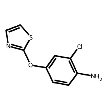 Nc1ccc(Oc2nccs2)cc1Cl